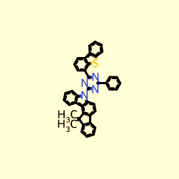 CC1(C)c2ccccc2-c2ccc3c(c21)c1ccccc1n3-c1nc(-c2ccccc2)nc(-c2cccc3c2sc2ccccc23)n1